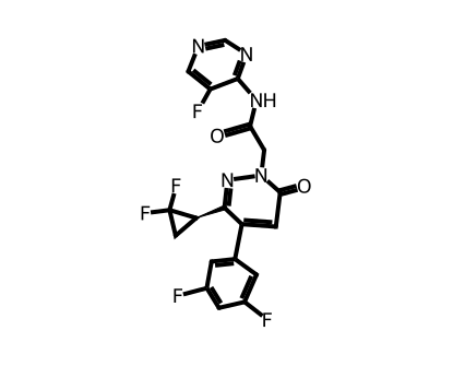 O=C(Cn1nc([C@H]2CC2(F)F)c(-c2cc(F)cc(F)c2)cc1=O)Nc1ncncc1F